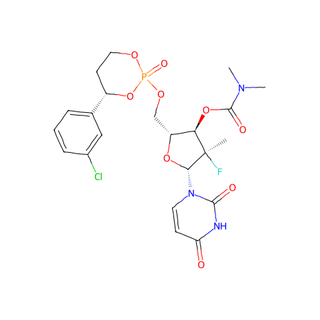 CN(C)C(=O)O[C@@H]1[C@@H](COP2(=O)OCC[C@@H](c3cccc(Cl)c3)O2)O[C@@H](n2ccc(=O)[nH]c2=O)[C@]1(C)F